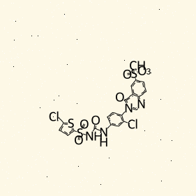 CS(=O)(=O)c1ccc2ncn(-c3ccc(NC(=O)NS(=O)(=O)c4ccc(Cl)s4)cc3Cl)c(=O)c2c1